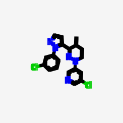 C=C1C=CN(c2cncc(Cl)c2)N=C1c1ccnn1-c1cccc(Cl)c1